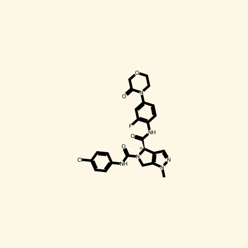 Cn1ncc2c1CN(C(=O)Nc1ccc(Cl)cc1)[C@H]2C(=O)Nc1ccc(N2CCOCC2=O)cc1F